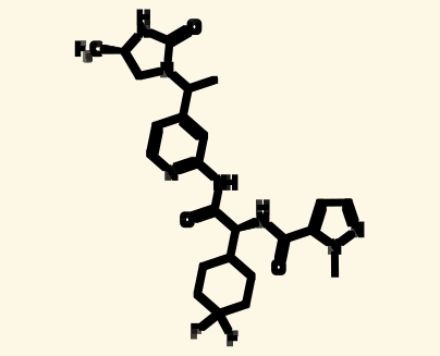 CC(c1ccnc(NC(=O)[C@@H](NC(=O)c2ccnn2C)C2CCC(F)(F)CC2)c1)N1C[C@@H](C(F)(F)F)NC1=O